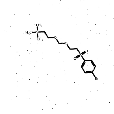 C[Si](C)(C)CCOCOCCS(=O)(=O)c1ccc(Br)cc1